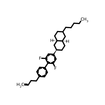 C=CCCc1ccc(-c2c(F)cc([C@@H]3CC[C@@H]4CC(CCCCC)CC[C@@H]4C3)cc2F)cc1